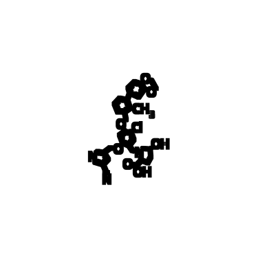 Cc1c(COc2cc(OCc3cncc(C#N)c3)c(CN3C[C@@H](O)CCC3C(=O)O)cc2Cl)cccc1-c1ccc2c(c1)OCCO2